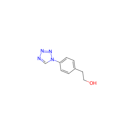 OCCc1ccc(-n2cnnn2)cc1